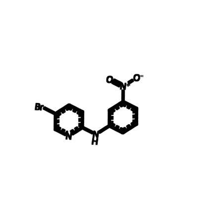 O=[N+]([O-])c1cccc(Nc2ccc(Br)cn2)c1